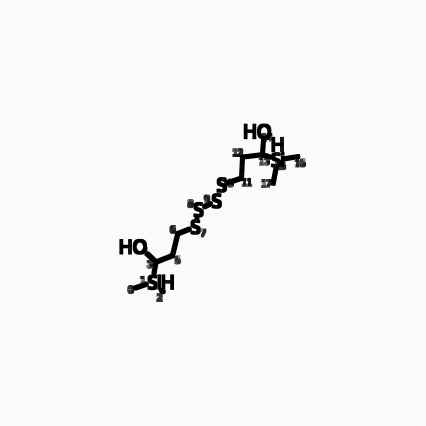 C[SiH](C)C(O)CCSSSSCCC(O)[SiH](C)C